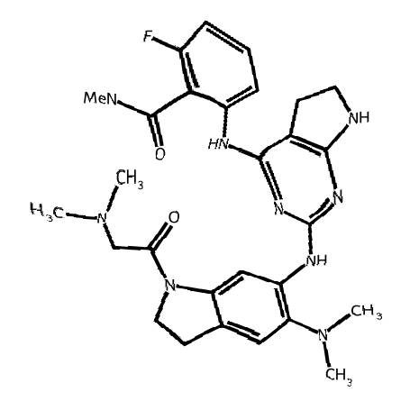 CNC(=O)c1c(F)cccc1Nc1nc(Nc2cc3c(cc2N(C)C)CCN3C(=O)CN(C)C)nc2c1CCN2